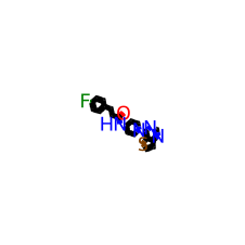 O=C(CCc1ccc(F)cc1)NC1CCN(c2ncnc3ccsc23)CC1